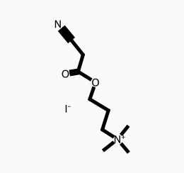 C[N+](C)(C)CCCOC(=O)CC#N.[I-]